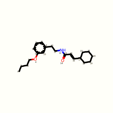 CCCCOc1cccc(CCNC(=O)C=CC2CCCCC2)c1